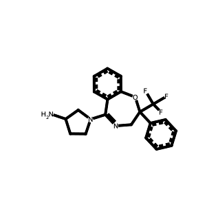 NC1CCN(C2=NCC(c3ccccc3)(C(F)(F)F)Oc3ccccc32)C1